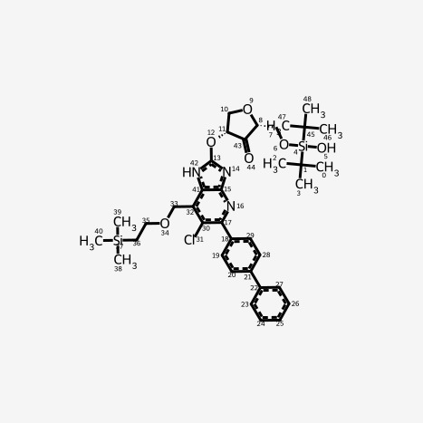 CC(C)(C)[Si](O)(OC[C@H]1OC[C@@H](Oc2nc3nc(-c4ccc(-c5ccccc5)cc4)c(Cl)c(COCC[Si](C)(C)C)c3[nH]2)C1=O)C(C)(C)C